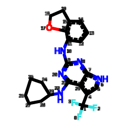 FC(F)(F)c1c[nH]c2nc(Nc3cc[c]c4c3OCC4)nc(NC3CCCCC3)c12